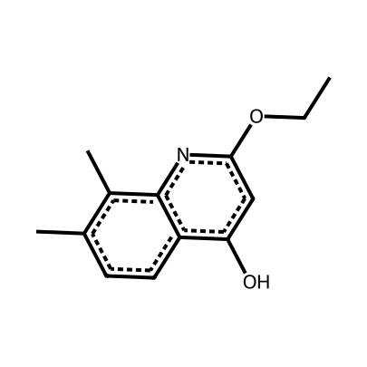 CCOc1cc(O)c2ccc(C)c(C)c2n1